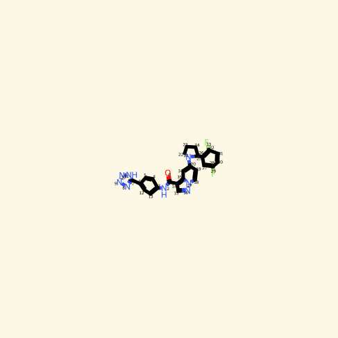 O=C(Nc1ccc(-c2nnn[nH]2)cc1)c1cnn2ccc(N3CCCC3c3cc(F)ccc3F)cc12